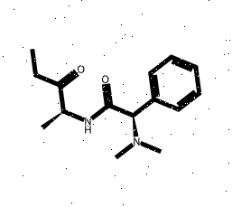 CCC(=O)[C@H](C)NC(=O)[C@@H](c1ccccc1)N(C)C